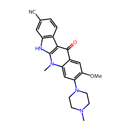 COc1cc2c(=O)c3c4ccc(C#N)cc4[nH]c3n(C)c2cc1N1CCN(C)CC1